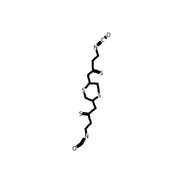 O=C=NCCC(=S)CC1CSC(CC(=S)CCN=C=O)CS1